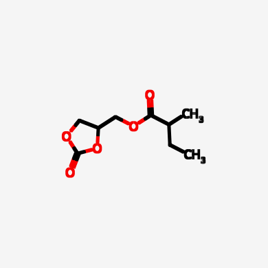 CCC(C)C(=O)OCC1COC(=O)O1